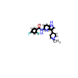 CN1CCC(c2c[nH]c3ccc(NC(=O)c4ccc(F)cc4F)nc23)CC1